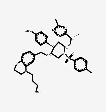 COCCCN1CCOc2ccc(CO[C@H]3CN(S(=O)(=O)c4ccc(C)cc4)[C@@H](C[C@@H](C)n4nnc(C)n4)C[C@@H]3c3ccc(OC)cc3)cc21